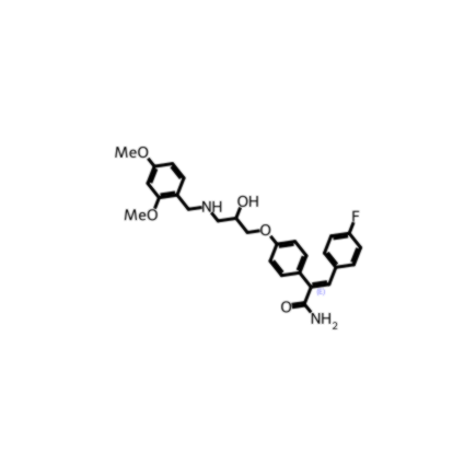 COc1ccc(CNCC(O)COc2ccc(/C(=C\c3ccc(F)cc3)C(N)=O)cc2)c(OC)c1